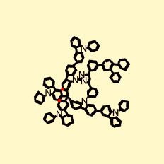 c1ccc(-c2ccc(-c3cccc(-c4cc5nc(n4)-n4c6cc(-c7ccc8c(c7)c7ccccc7n8-c7ccccc7)ccc6c6ccc(cc64)C(c4ccc6c(c4)c4ccccc4n6-c4ccccc4)(c4ccc6c(c4)c4ccccc4n6-c4ccccc4)c4ccc6c7ccc(-c8ccc9c(c8)c8ccccc8n9-c8ccccc8)cc7n(c6c4)-c4cccc-5c4)c3)cc2-c2ccccc2)cc1